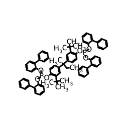 CCC(C)(c1ccc(OP(Oc2ccccc2-c2ccccc2)Oc2ccccc2-c2ccccc2)c(C(C)(C)C)c1)c1ccc(OP(Oc2ccccc2-c2ccccc2)Oc2ccccc2-c2ccccc2)c(C(C)(C)C)c1